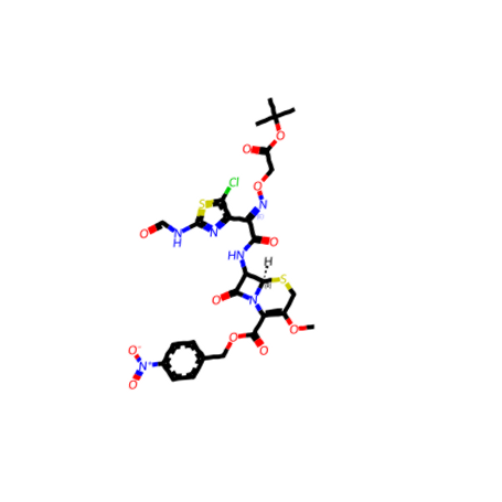 COC1=C(C(=O)OCc2ccc([N+](=O)[O-])cc2)N2C(=O)C(NC(=O)/C(=N/OCC(=O)OC(C)(C)C)c3nc(NC=O)sc3Cl)[C@H]2SC1